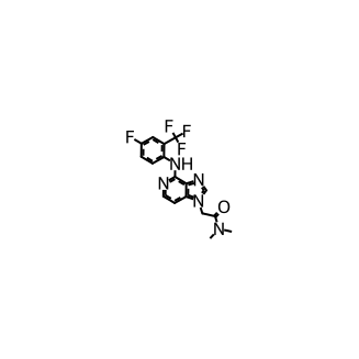 CN(C)C(=O)Cn1cnc2c(Nc3ccc(F)cc3C(F)(F)F)nccc21